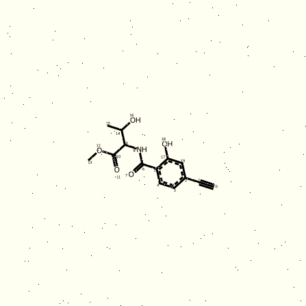 C#Cc1ccc(C(=O)NC(C(=O)OC)C(C)O)c(O)c1